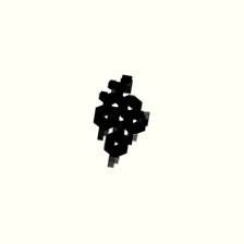 C=NN(C)C(=C(C)C)c1ccc2nccc(N(c3ccc(F)cc3F)c3ncccc3F)c2c1